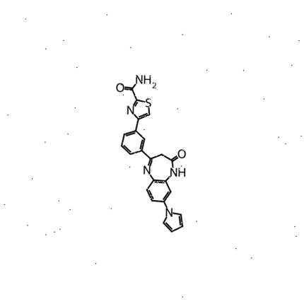 NC(=O)c1nc(-c2cccc(C3=Nc4ccc(-n5cccc5)cc4NC(=O)C3)c2)cs1